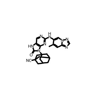 Cc1cc2ncnn2cc1Nc1ncc2[nH]c(=O)n(C34CC5CC(CC(C#N)(C5)C3)C4)c2n1